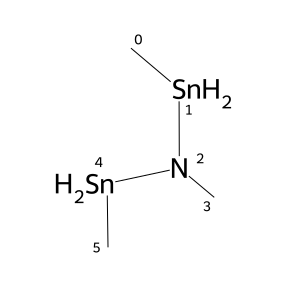 [CH3][SnH2][N](C)[SnH2][CH3]